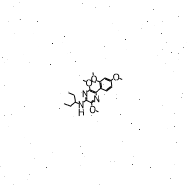 CCC(CC)Nc1nc(OC)c(-c2ccc(OC)cc2OC)nc1OC